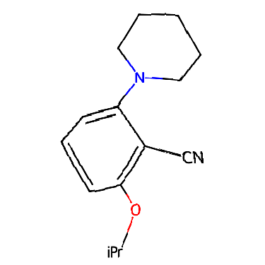 CC(C)Oc1cccc(N2CCCCC2)c1C#N